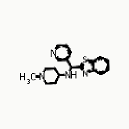 CN1CCC(NC(c2cccnc2)c2nc3ccccc3s2)CC1